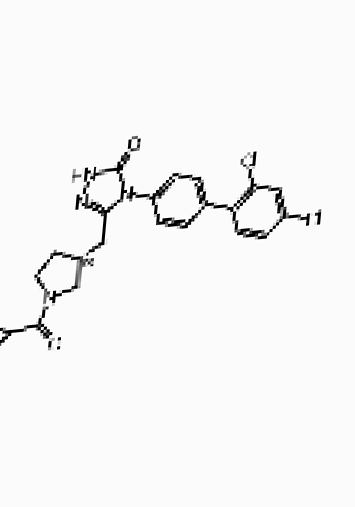 O=C(C1CC1)N1CC[C@@H](Cc2n[nH]c(=O)n2-c2ccc(-c3ccc(Cl)cc3Cl)cc2)C1